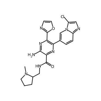 CN1CCCC1CNC(=O)c1nc(-c2ccc3ncc(Cl)n3c2)c(-c2ncco2)nc1N